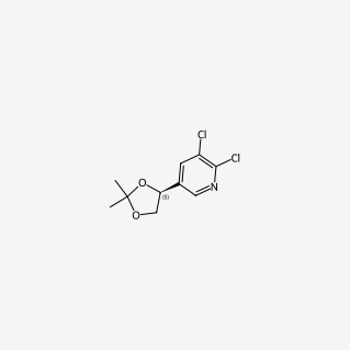 CC1(C)OC[C@H](c2cnc(Cl)c(Cl)c2)O1